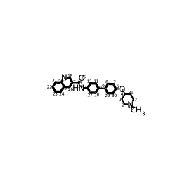 CN1CCC(Oc2ccc(-c3ccc(NC(=O)c4cnc5ccccc5c4)cc3)cc2)CC1